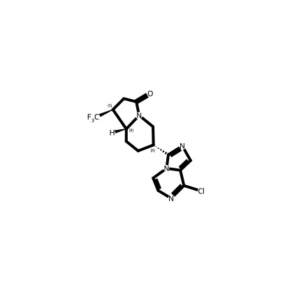 O=C1C[C@H](C(F)(F)F)[C@H]2CC[C@@H](c3ncc4c(Cl)nccn34)CN12